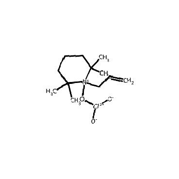 C=CC[N+]1(O[Cl+2]([O-])[O-])C(C)(C)CCCC1(C)C